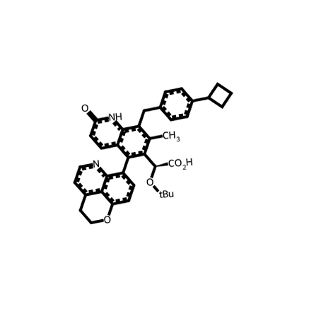 Cc1c([C@H](OC(C)(C)C)C(=O)O)c(-c2ccc3c4c(ccnc24)CCO3)c2ccc(=O)[nH]c2c1Cc1ccc(C2CCC2)cc1